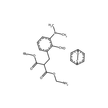 CN(C)c1cccc(CC(C(=O)OCN)C(=O)OC(C)(C)C)c1C=O.c1cc2ccc1CO2